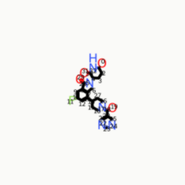 O=C1CCC(N2Cc3c(cc(F)cc3C3CCN(C(=O)c4cncnc4)CC3)C2=O)C(=O)N1